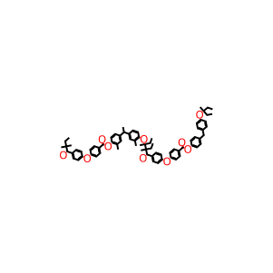 CCC(C)(CC)Oc1ccc(Cc2ccc(OC(=O)c3ccc(Oc4ccc(C(=O)C(C)(CC)C(C)(CC)Oc5ccc(C(C)c6ccc(OC(=O)c7ccc(Oc8ccc(C(=O)C(C)(C)CC)cc8)cc7)c(C)c6)cc5C)cc4)cc3)cc2)cc1